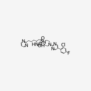 O=S(=O)(CC(CCCc1ncccn1)NO)N1CCN(c2ncc(-c3ccc(F)cc3Cl)cn2)CC1